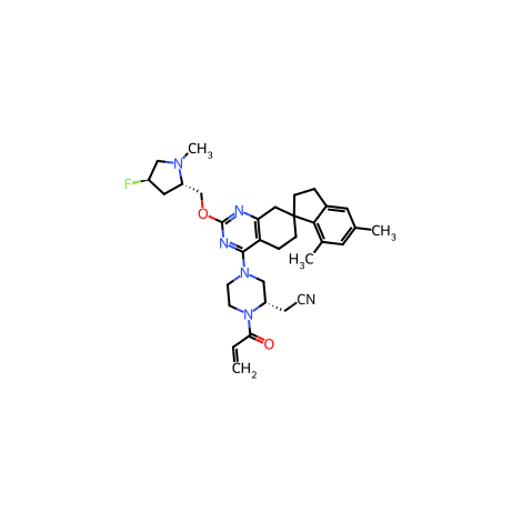 C=CC(=O)N1CCN(c2nc(OC[C@@H]3C[C@@H](F)CN3C)nc3c2CCC2(CCc4cc(C)cc(C)c42)C3)C[C@@H]1CC#N